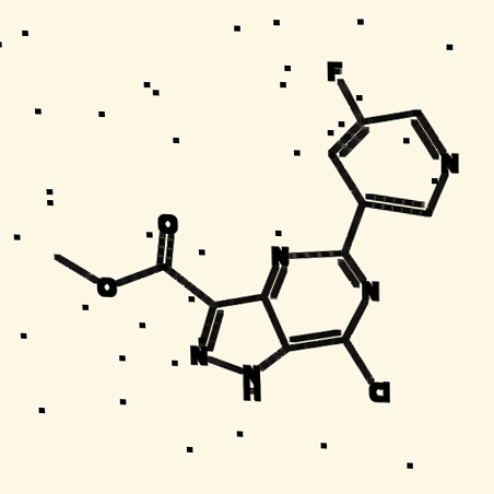 COC(=O)c1n[nH]c2c(Cl)nc(-c3cncc(F)c3)nc12